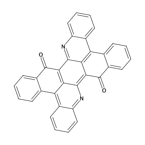 O=c1c2ccccc2c2c3ccccc3nc3c4c(=O)c5ccccc5c5c6ccccc6nc(c1c32)c45